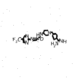 C[C@H](CNc1ncc(C(F)(F)F)cn1)NC(=O)NC1CCN(Cc2ccc(C(=N)N)cc2)CC1